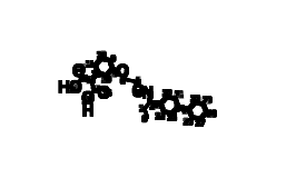 CC/C(=N\OCCOc1cccc(C(C(=O)O)C(=O)O)c1)c1ccc(-c2ccccc2)cc1